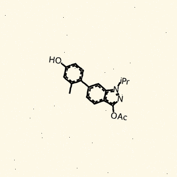 CC(=O)Oc1nn(C(C)C)c2cc(-c3ccc(O)cc3C)ccc12